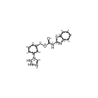 O=C(Nc1nc2ccccc2s1)OCc1cccc(N2C=NNN2)c1